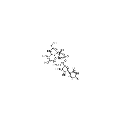 O=C(CS)NC1C(OP(=O)(O)OP(=O)(O)OCC2OC(n3ccc(=O)[nH]c3=O)C(O)C2O)OC(CO)C(O)C1O